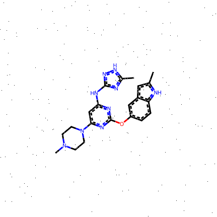 Cc1cc2cc(Oc3nc(Nc4n[nH]c(C)n4)cc(N4CCN(C)CC4)n3)ccc2[nH]1